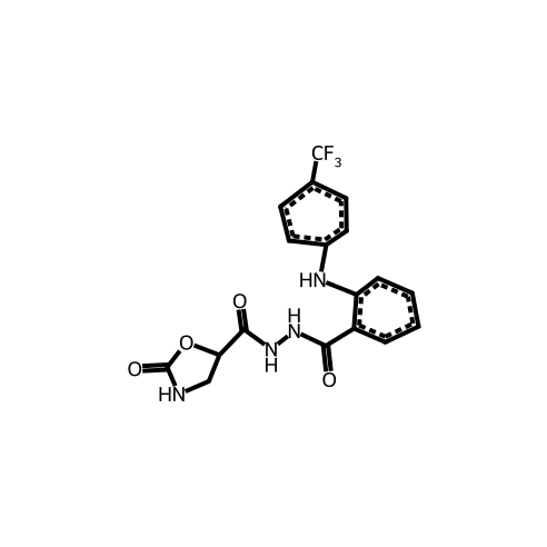 O=C1NCC(C(=O)NNC(=O)c2ccccc2Nc2ccc(C(F)(F)F)cc2)O1